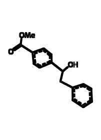 COC(=O)c1ccc(C(O)Cc2ccccc2)cc1